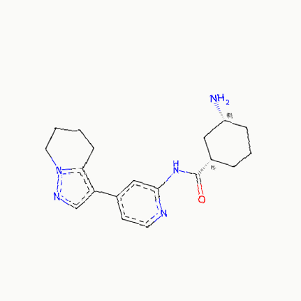 N[C@@H]1CCC[C@H](C(=O)Nc2cc(-c3cnn4c3CCCC4)ccn2)C1